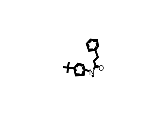 CN(C(=O)CCc1ccccc1)c1ccc(C(C)(C)C)cc1